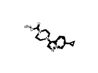 CC(C)(C)OC(=O)N1CCN(c2cnn3cc(C4CC4)ccc23)CC1